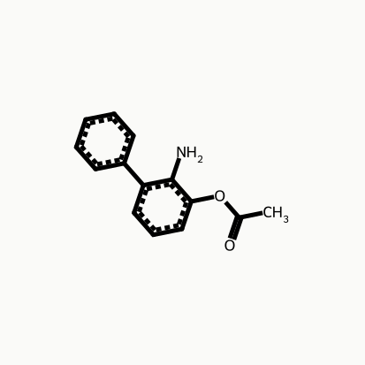 CC(=O)Oc1cccc(-c2ccccc2)c1N